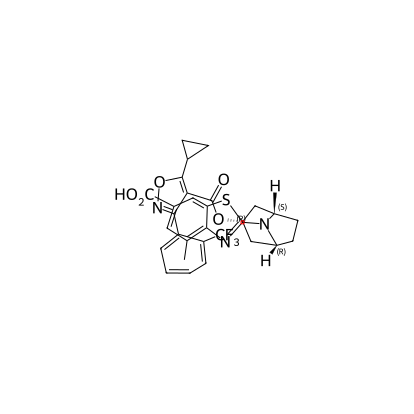 Cc1cc(C(=O)O)cc2sc(N3[C@@H]4CC[C@H]3C[C@@H](OC(=O)c3c(-c5ccccc5C(F)(F)F)noc3C3CC3)C4)nc12